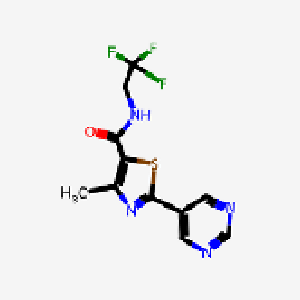 Cc1nc(-c2cncnc2)sc1C(=O)NCC(F)(F)F